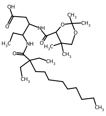 CCCCCCCCCC(CC)(CC)C(=O)NC(CC)C(CC(=O)O)NC(=O)C1OC(C)(C)OCC1(C)C